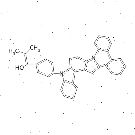 CC(C)=C(O)c1ccc(-n2c3ccccc3c3c4cc5c6ccccc6c6ccccc6n5c4ccc32)cc1